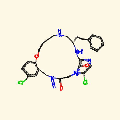 O=C1Cn2c(Cl)cnc(c2=O)N[C@@H](Cc2ccccc2)CNCCCOc2ccc(Cl)cc2CN1